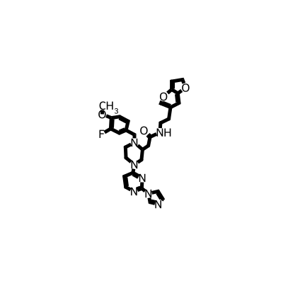 COc1ccc(CN2CCN(c3ccnc(-n4ccnc4)n3)CC2CC(=O)NCCC2=COC3=CCOC3=C2)cc1F